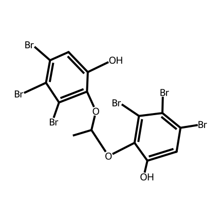 CC(Oc1c(O)cc(Br)c(Br)c1Br)Oc1c(O)cc(Br)c(Br)c1Br